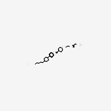 C=CC(=O)OCCCOC1CCC(C(=O)Oc2ccc(C3CCC(CCCCCC)CC3)cc2)CC1